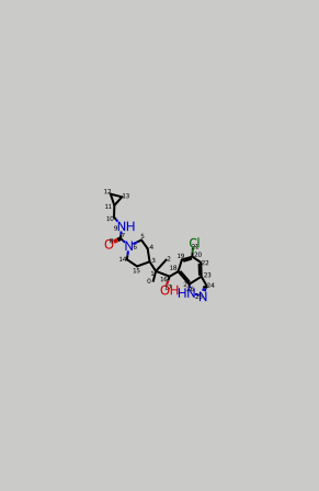 CC(C)(C1CCN(C(=O)NCC2CC2)CC1)C(O)c1cc(Cl)cc2cn[nH]c12